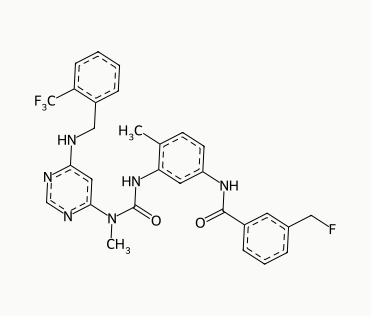 Cc1ccc(NC(=O)c2cccc(CF)c2)cc1NC(=O)N(C)c1cc(NCc2ccccc2C(F)(F)F)ncn1